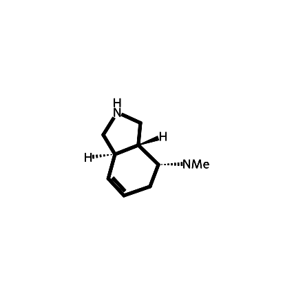 CN[C@@H]1CC=C[C@H]2CNC[C@@H]21